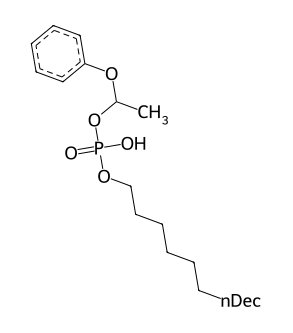 CCCCCCCCCCCCCCCCOP(=O)(O)OC(C)Oc1ccccc1